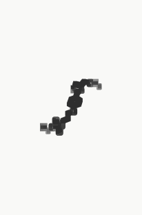 CCc1cnc(-c2ccc(OCCCOS(C)(=O)=O)cc2)s1